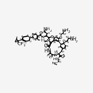 Cc1nc(-c2ccc(C3(C(F)(F)F)CC3)cc2)ncc1C(=O)NC(CCN)C(=O)N(C)C1C(=O)NC(C)C(=O)NC(C(=O)NCC#N)Cc2ccc(OCCN)c(c2)-c2cc1ccc2OCCN